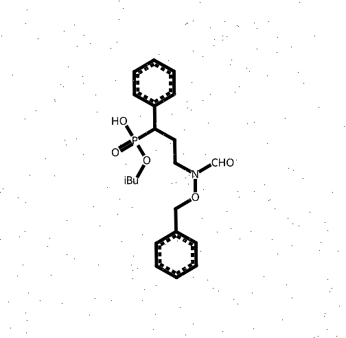 CCC(C)OP(=O)(O)C(CCN(C=O)OCc1ccccc1)c1ccccc1